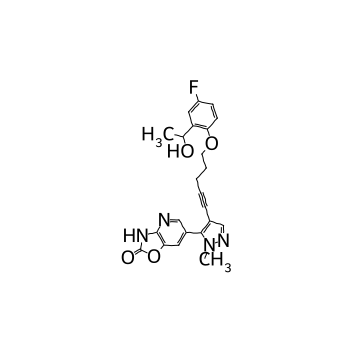 CC(O)c1cc(F)ccc1OCCCC#Cc1cnn(C)c1-c1cnc2[nH]c(=O)oc2c1